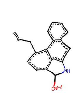 C=CCc1ccc2c3c(cc4ccccc4c13)NC2O